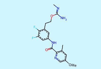 C/N=C(/N)OCCc1cc(NC(=O)c2ncc(OC)cc2C)cc(F)c1F